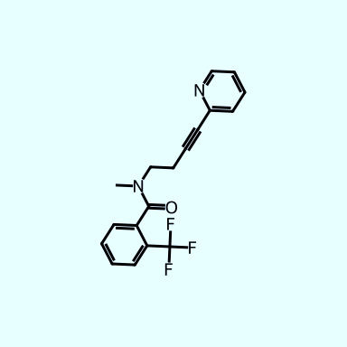 CN(CCC#Cc1ccccn1)C(=O)c1ccccc1C(F)(F)F